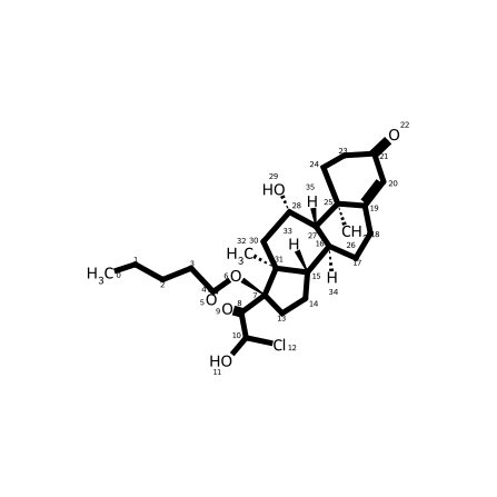 CCCCC(=O)O[C@]1(C(=O)C(O)Cl)CC[C@H]2[C@@H]3CCC4=CC(=O)CC[C@]4(C)[C@H]3[C@@H](O)C[C@@]21C